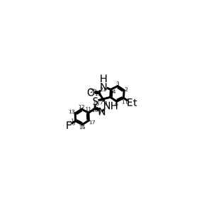 CCc1ccc2c(c1)C1(NN=C(c3ccc(F)cc3)S1)C(=O)N2